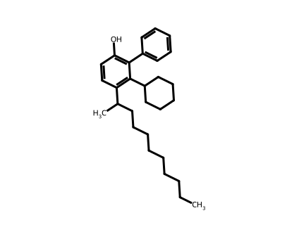 CCCCCCCCCC(C)c1ccc(O)c(-c2ccccc2)c1C1CCCCC1